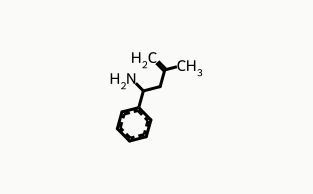 C=C(C)CC(N)c1ccccc1